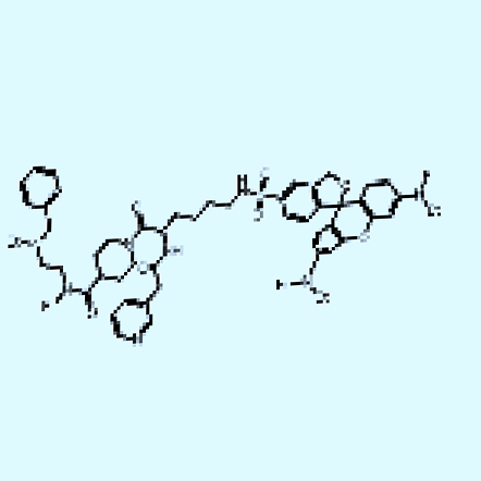 CCN(CCN(CC)C(=O)C1CCN(C(=O)C(CCCCNS(=O)(=O)c2ccc3c(c2)COC32c3ccc(N(CC)CC)cc3Oc3cc(N(CC)CC)ccc32)NC(=O)Cc2cccnc2)CC1)Cc1ccccc1